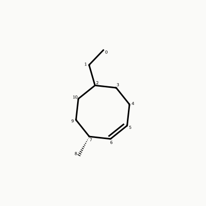 CCC1CC/C=C\[C@H](C)CC1